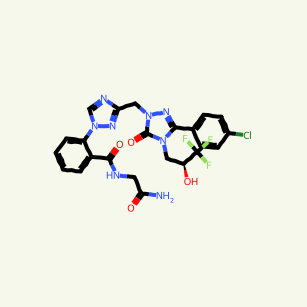 NC(=O)CNC(=O)c1ccccc1-n1cnc(Cn2nc(-c3ccc(Cl)cc3)n(C[C@H](O)C(F)(F)F)c2=O)n1